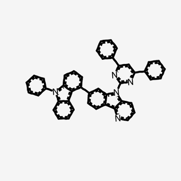 c1ccc(-c2cc(-c3ccccc3)nc(-n3c4cc(-c5cccc6c5c5ccccc5n6-c5ccccc5)ccc4c4ncccc43)n2)cc1